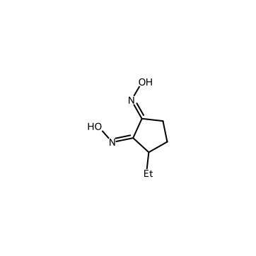 CCC1CCC(=NO)C1=NO